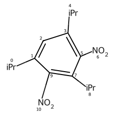 CC(C)c1cc(C(C)C)c([N+](=O)[O-])c(C(C)C)c1[N+](=O)[O-]